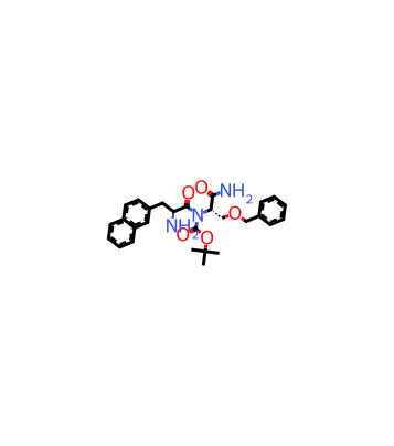 CC(C)(C)OC(=O)N(C(=O)[C@@H](N)Cc1ccc2ccccc2c1)[C@@H](COCc1ccccc1)C(N)=O